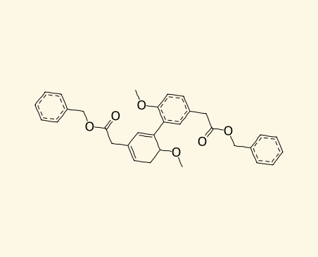 COc1ccc(CC(=O)OCc2ccccc2)cc1C1=CC(CC(=O)OCc2ccccc2)=CCC1OC